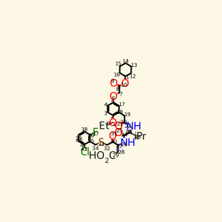 CCOc1ccc(OCC(=O)OC2CCCCC2)cc1CC(=O)N[C@H](C(=O)N/C(=C/C(=O)O)C(=O)CSCc1c(F)cccc1Cl)C(C)C